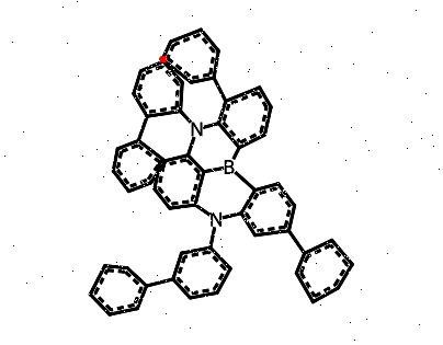 c1ccc(-c2cccc(N3c4cc(-c5ccccc5)ccc4B4c5cccc(-c6ccccc6)c5N(c5ccccc5-c5ccccc5)c5cccc3c54)c2)cc1